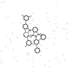 Cc1cc(C)cc(C2=CC3C(C=C2)c2ccc(-c4cc(C)cc(C)c4)cc2N3c2cccc3c2C(=O)N(c2ccc(-c4ccccc4)cc2-c2ccccc2)C3=O)c1